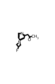 CC(=O)Cc1cc(N2CC(F)C2)ccn1